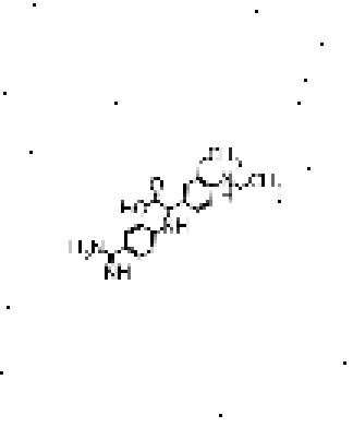 CCNc1ccc(C(Nc2ccc(C(=N)N)cc2)C(=O)O)cc1CC